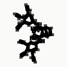 C#Cc1cc(NC(=O)C2C3C=CC(C2C(=O)O)C(C(=O)Nc2cc(C#C)c(C#C)c(C#C)c2)C3C(=O)O)cc(C#C)c1C#C